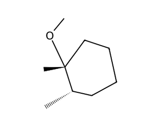 CO[C@]1(C)CCCC[C@@H]1C